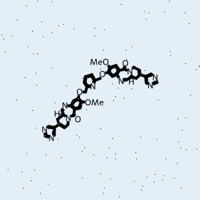 COc1cc2c(cc1OCc1cccc(COc3cc4c(cc3OC)C(=O)N3CC=C(c5cncnc5)C[C@H]3C=N4)n1)N=C[C@@H]1CC(c3cncnc3)=CCN1C2=O